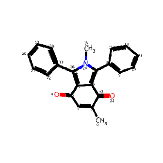 CC1=CC(=O)c2c(c(-c3ccccc3)n(C)c2-c2ccccc2)C1=O